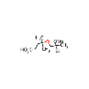 CCC(C)(COC(C)(C)CCC(=O)O)OC